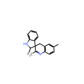 Cc1ccc2c(c1)CC1(C(C(F)(F)F)=N2)c2ccccc2NC1C